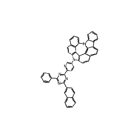 c1ccc(-c2nc(-c3ccc4ccccc4c3)nc(-c3ccc(-n4c5ccc6cccc7c6c5c5c6c(ccc8c9ccccc9n7c86)ccc54)cn3)n2)cc1